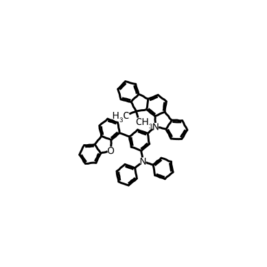 CC1(C)c2ccccc2-c2ccc3c4ccccc4n(-c4cc(-c5cccc6c5oc5ccccc56)cc(N(c5ccccc5)c5ccccc5)c4)c3c21